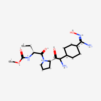 CC(C)(C)C[C@@H](NC(=O)OC(C)(C)C)C(=O)N1CCC[C@H]1C(=O)C(N)C1CCC(/C(N)=N\O)CC1